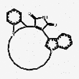 O=C1NC(=O)C2=C1c1cn(c3ccccc13)CCCCCCCCCN1CC2c2ccccc21